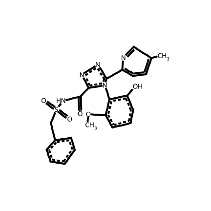 COc1cccc(O)c1-n1c(C(=O)NS(=O)(=O)Cc2ccccc2)nnc1C1=C=C=C(C)C=N1